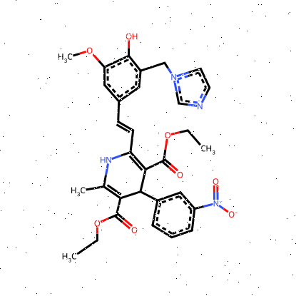 CCOC(=O)C1=C(C)NC(C=Cc2cc(Cn3ccnc3)c(O)c(OC)c2)=C(C(=O)OCC)C1c1cccc([N+](=O)[O-])c1